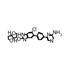 Nc1cncc(-c2ccc(-c3cc4nc(OC5CO[C@@H]6CCO[C@H]56)[nH]c4cc3Cl)cc2)n1